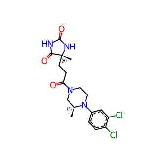 C[C@H]1CN(C(=O)CC[C@@]2(C)NC(=O)NC2=O)CCN1c1ccc(Cl)c(Cl)c1